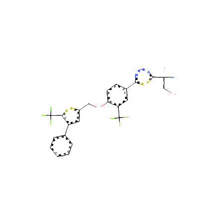 C[C@](N)(CO)c1nnc(-c2ccc(OCc3cc(-c4ccccc4)c(C(F)(F)F)s3)c(C(F)(F)F)c2)s1